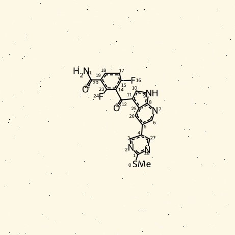 CSc1ncc(-c2cnc3[nH]cc(C(=O)c4c(F)ccc(C(N)=O)c4F)c3c2)cn1